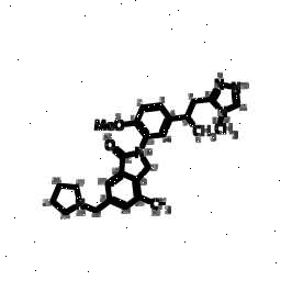 COc1ccc(C(C)Cc2nncn2C)cc1N1Cc2c(cc(CN3CCCC3)cc2C(F)(F)F)C1=O